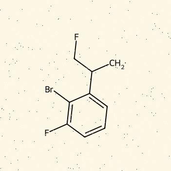 [CH2]C(CF)c1cccc(F)c1Br